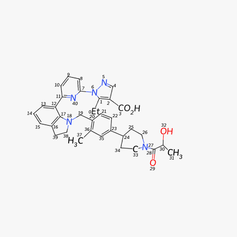 CCc1c(C(=O)O)cnn1-c1cccc(-c2cccc3c2N(Cc2ccc(C4CCN(C(=O)C(C)O)CC4)cc2C)CC3)n1